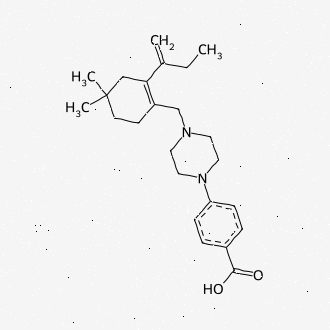 C=C(CC)C1=C(CN2CCN(c3ccc(C(=O)O)cc3)CC2)CCC(C)(C)C1